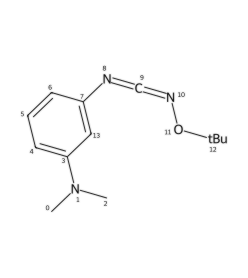 CN(C)c1cccc(N=C=NOC(C)(C)C)c1